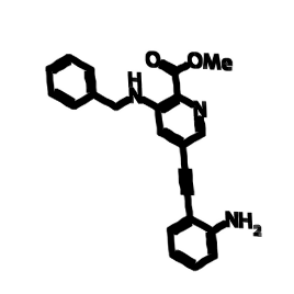 COC(=O)c1ncc(C#Cc2ccccc2N)cc1NCc1ccccc1